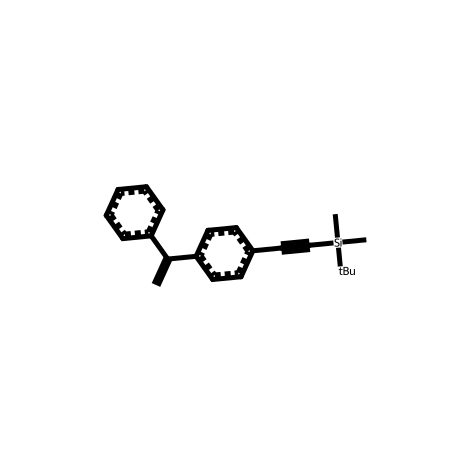 C=C(c1ccccc1)c1ccc(C#C[Si](C)(C)C(C)(C)C)cc1